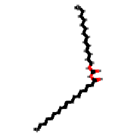 CCCCCCCCC=CCCCCCCCC(=O)OC(=O)OCCCCCCCCCCCCCC